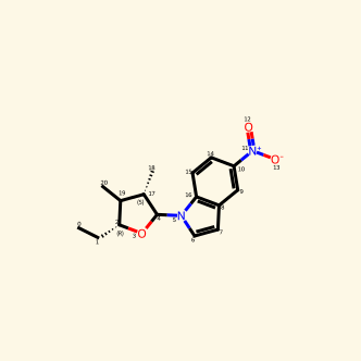 CC[C@H]1OC(n2ccc3cc([N+](=O)[O-])ccc32)[C@@H](C)C1C